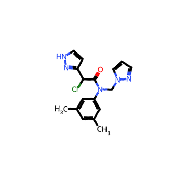 Cc1cc(C)cc(N(Cn2cccn2)C(=O)C(Cl)c2cc[nH]n2)c1